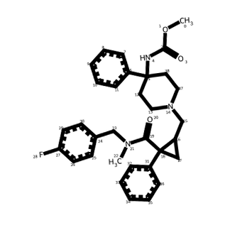 COC(=O)NC1(c2ccccc2)CCN(CC2CC2(C(=O)N(C)Cc2ccc(F)cc2)c2ccccc2)CC1